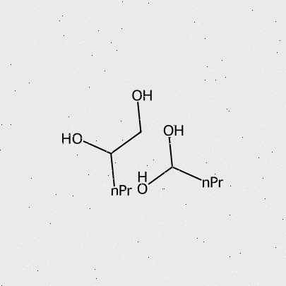 CCCC(O)CO.CCCC(O)O